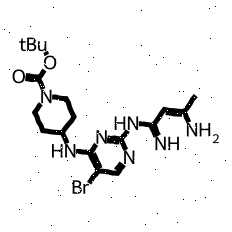 C/C(N)=C/C(=N)Nc1ncc(Br)c(NC2CCN(C(=O)OC(C)(C)C)CC2)n1